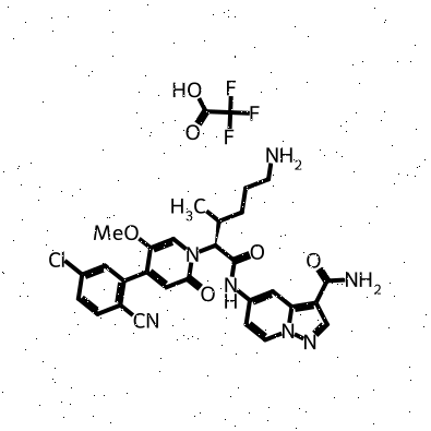 COc1cn([C@H](C(=O)Nc2ccn3ncc(C(N)=O)c3c2)C(C)CCCN)c(=O)cc1-c1cc(Cl)ccc1C#N.O=C(O)C(F)(F)F